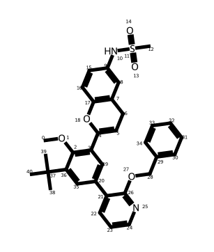 COc1c(C2=CCc3cc(NS(C)(=O)=O)ccc3O2)cc(-c2cccnc2OCc2ccccc2)cc1C(C)(C)C